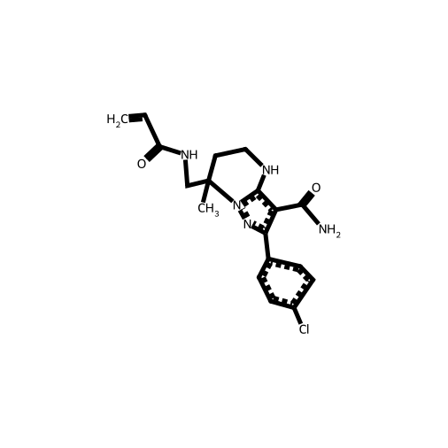 C=CC(=O)NCC1(C)CCNc2c(C(N)=O)c(-c3ccc(Cl)cc3)nn21